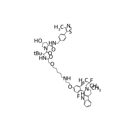 Cc1ncsc1-c1ccc(CNC(=O)[C@@H]2C[C@@H](O)CN2C(=O)C(NC(=O)COCCCCCNCCOc2cc(F)c([C@@H]3c4[nH]c5ccccc5c4C[C@@H](C)N3CC(C)(C)F)c(F)c2)C(C)(C)C)cc1